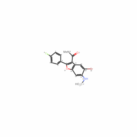 CNC(=O)c1c(-c2ccc(F)cc2)oc2cc(NC(=O)O)c(Br)cc12